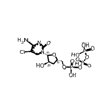 Nc1nc(=O)n([C@@H]2O[C@H](COP(=O)(O)OP(=O)(O)OP(=O)(O)O)C[C@H]2O)cc1Cl